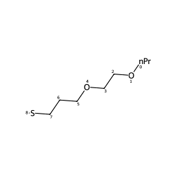 CCCOCCOCCC[S]